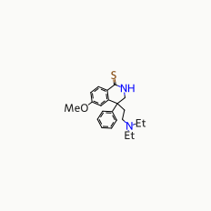 CCN(CC)CCC1(c2ccccc2)CNC(=S)c2ccc(OC)cc21